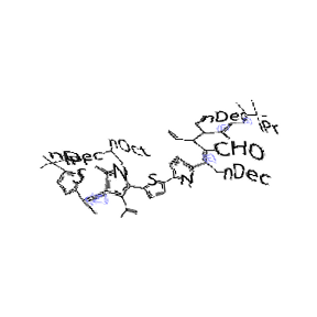 C=CC(/C(C=O)=C(/CCCCCCCCCCC)c1ccc(-c2ccc(-c3c(C(=C)C)/c(=C(\C)c4ccc(C(C)(C)C(C)C)s4)c(=C)n3CC(CCCCCCCC)CCCCCCCCCC)s2)n1C)C(CCCCCCCCCCC)/C(C)=C/C=C(\C)C(C)(C)C(C)C